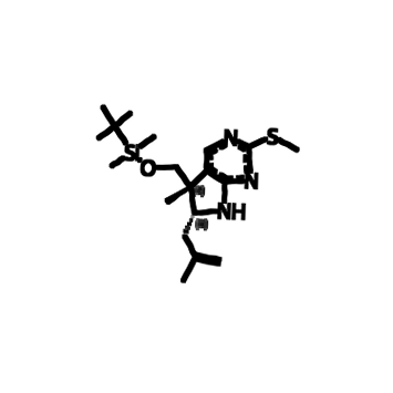 C=C(C)C[C@H]1Nc2nc(SC)ncc2[C@@]1(C)CO[Si](C)(C)C(C)(C)C